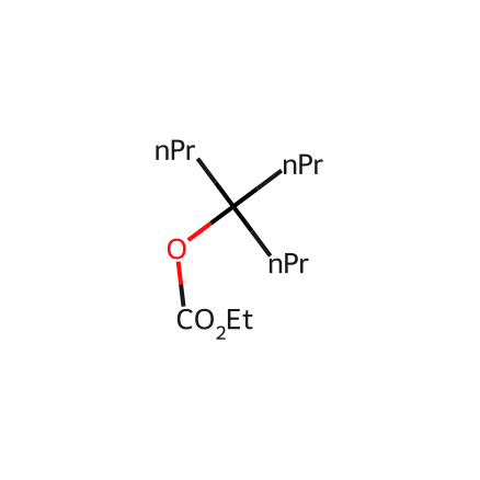 C[CH]OC(=O)OC(CCC)(CCC)CCC